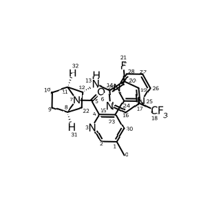 Cc1cnc(C(=O)N2[C@@H]3CC[C@H]2[C@H](Nc2ncc(C(F)(F)F)cc2F)C3)c(-c2ncccn2)c1